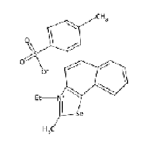 CC[n+]1c(C)[se]c2c3ccccc3ccc21.Cc1ccc(S(=O)(=O)[O-])cc1